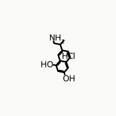 CC(CN)c1ccc2cc(O)cc(O)c2c1.Cl